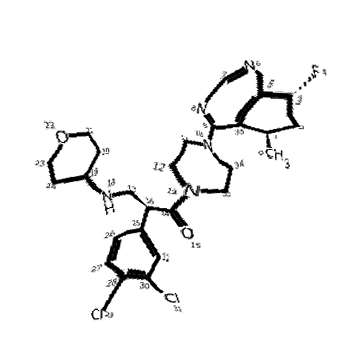 C[C@@H]1C[C@@H](F)c2ncnc(N3CCN(C(=O)[C@H](CNC4CCOCC4)c4ccc(Cl)c(Cl)c4)CC3)c21